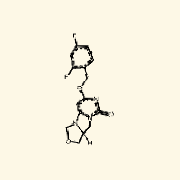 O=c1nc(OCc2ccc(F)cc2F)cc2n1C[C@@H]1COCN21